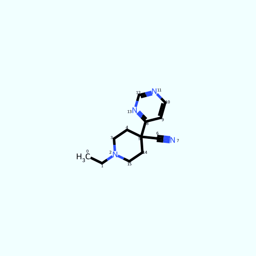 CCN1CCC(C#N)(c2ccncn2)CC1